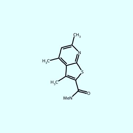 CNC(=O)c1sc2nc(C)cc(C)c2c1C